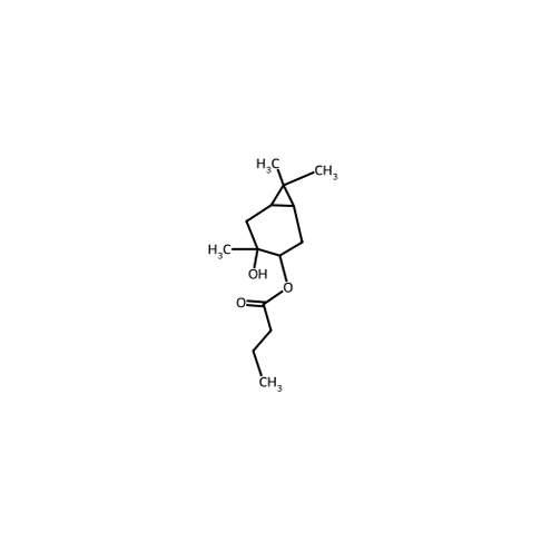 CCCC(=O)OC1CC2C(CC1(C)O)C2(C)C